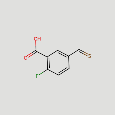 O=C(O)c1cc(C=S)ccc1F